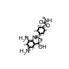 CNS(=O)(=O)c1ccc(N=Nc2c(N)cc(N)cc2C(=O)O)cc1